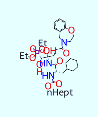 CCCCCCCOC(=O)N[C@@H](CC1CCCCC1)C(=O)NC(O)(CCC(=O)N1CCOc2ccccc2C1)C(O)P(=O)(OCC)OCC